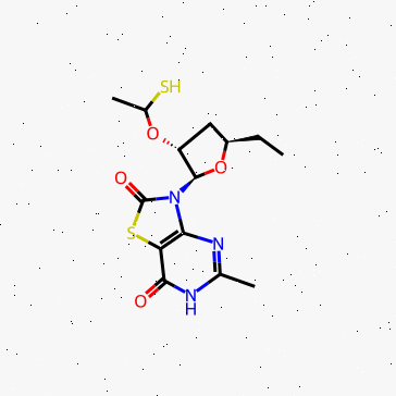 CC[C@@H]1C[C@@H](OC(C)S)[C@H](n2c(=O)sc3c(=O)[nH]c(C)nc32)O1